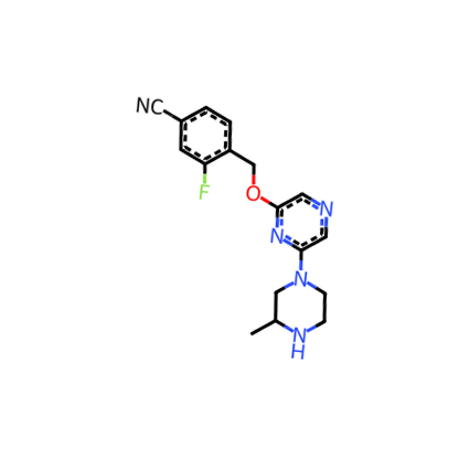 CC1CN(c2cncc(OCc3ccc(C#N)cc3F)n2)CCN1